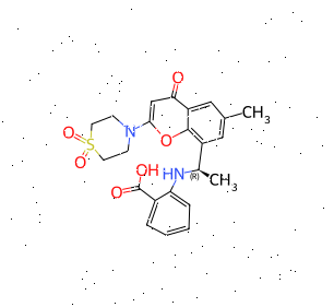 Cc1cc([C@@H](C)Nc2ccccc2C(=O)O)c2oc(N3CCS(=O)(=O)CC3)cc(=O)c2c1